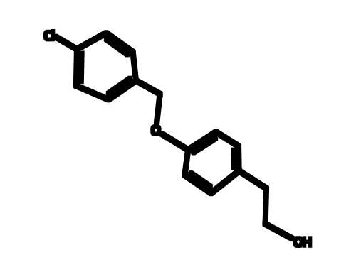 OCCc1ccc(OCc2ccc(Cl)cc2)cc1